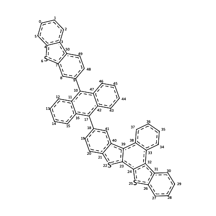 c1ccc2c(c1)sc1cc(-c3c4ccccc4c(-c4ccc5sc6c7sc8ccccc8c7c7ccccc7c6c5c4)c4ccccc34)ccc12